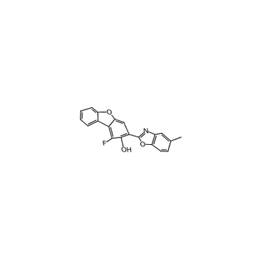 Cc1ccc2oc(-c3cc4oc5ccccc5c4c(F)c3O)nc2c1